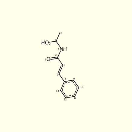 CC(O)NC(=O)/C=C/c1ccccc1